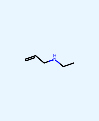 C=CCNCC